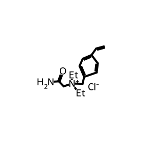 C=Cc1ccc(C[N+](CC)(CC)CC(N)=O)cc1.[Cl-]